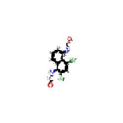 O=C=Nc1c(Br)cc(Br)c2c(N=C=O)cccc12